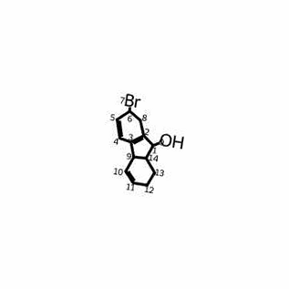 OC1C2=C(C=CC(Br)C2)C2C=CCCC12